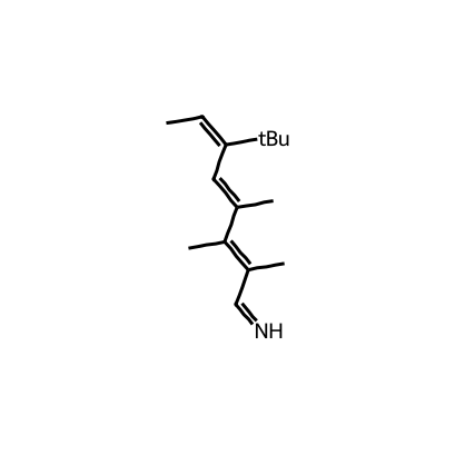 C\C=C(/C=C(C)/C(C)=C(\C)C=N)C(C)(C)C